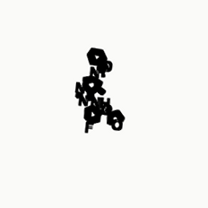 Cc1cc(N=[S@@](C)(=O)c2ccccc2)cc2ncnc(Nc3ccc(F)cc3O[C@H]3CCOC3)c12